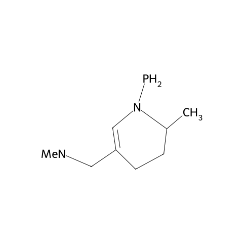 CNCC1=CN(P)C(C)CC1